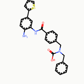 Nc1ccc(-c2cccs2)cc1NC(=O)c1ccc(CN(Cc2ccccc2)C(=O)O)cc1